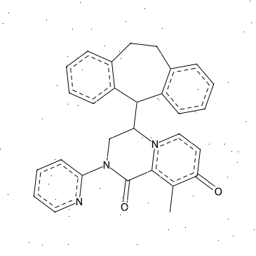 Cc1c2n(ccc1=O)C(C1c3ccccc3CCc3ccccc31)CN(c1ccccn1)C2=O